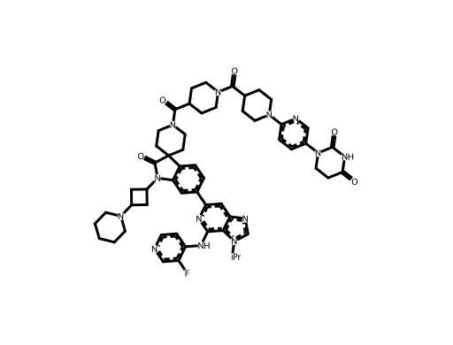 CC(C)n1cnc2cc(-c3ccc4c(c3)N(C3CC(N5CCCCC5)C3)C(=O)C43CCN(C(=O)C4CCN(C(=O)C5CCN(c6ccc(N7CCC(=O)NC7=O)cn6)CC5)CC4)CC3)nc(Nc3ccncc3F)c21